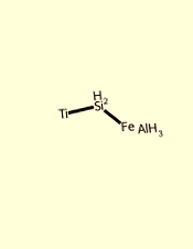 [AlH3].[Ti][SiH2][Fe]